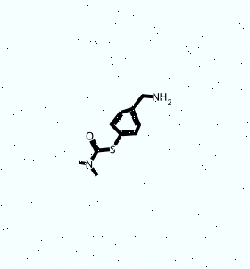 CN(C)C(=O)Sc1ccc(CN)cc1